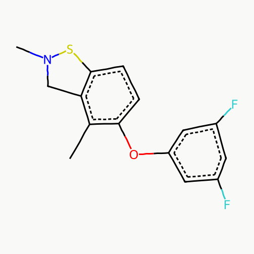 Cc1c(Oc2cc(F)cc(F)c2)ccc2c1CN(C)S2